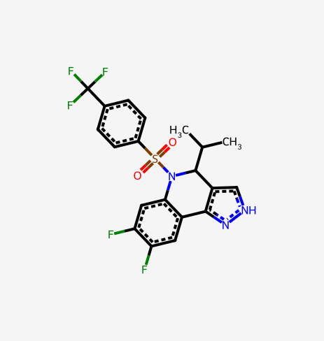 CC(C)C1c2c[nH]nc2-c2cc(F)c(F)cc2N1S(=O)(=O)c1ccc(C(F)(F)F)cc1